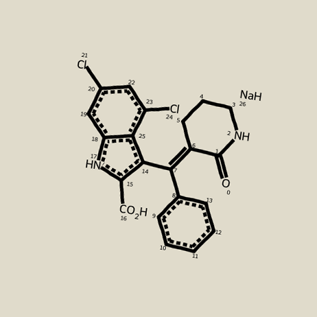 O=C1NCCCC1=C(c1ccccc1)c1c(C(=O)O)[nH]c2cc(Cl)cc(Cl)c12.[NaH]